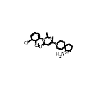 Cc1nc(N2CCC3(CCC[C@H]3N)CC2)cc(=O)n1C1=CC=CC(Cl)C1Cl